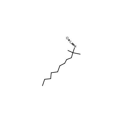 CCCCCCCCCC(C)(C)N=C=O